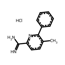 Cc1ccc(C(=N)N)nc1-c1ccccc1.Cl